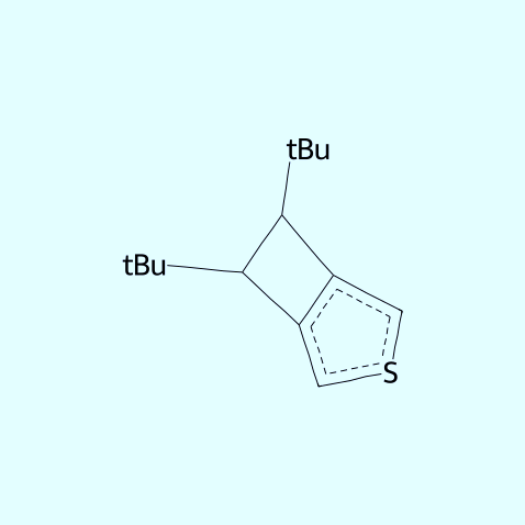 CC(C)(C)C1c2cscc2C1C(C)(C)C